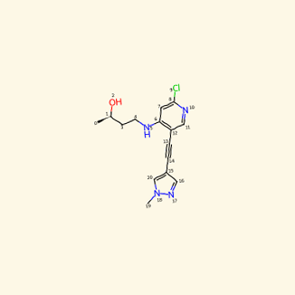 C[C@@H](O)CCNc1cc(Cl)ncc1C#Cc1cnn(C)c1